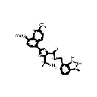 COc1ccc(-c2nc(C(=O)NCc3cccc4c3NNN4C)c([C@H](C)N)o2)c2ccc(C(F)(F)F)nc12